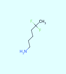 CC(F)(F)CCCCN